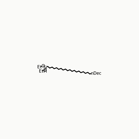 CCCCCCCCCCCCCCCCCCCCCCCCCCCCCC[SiH](OCC)OCC